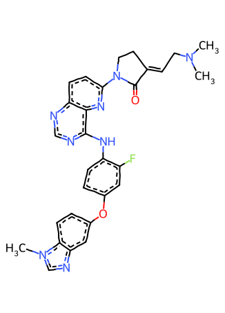 CN(C)C/C=C1\CCN(c2ccc3ncnc(Nc4ccc(Oc5ccc6c(c5)ncn6C)cc4F)c3n2)C1=O